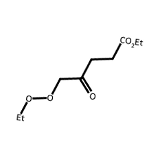 CCOOCC(=O)CCC(=O)OCC